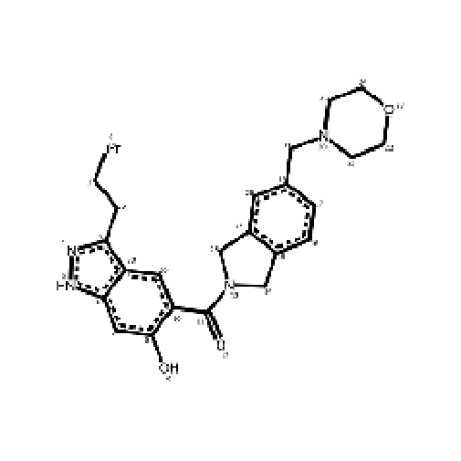 CC(C)CCc1n[nH]c2cc(O)c(C(=O)N3Cc4ccc(CN5CCOCC5)cc4C3)cc12